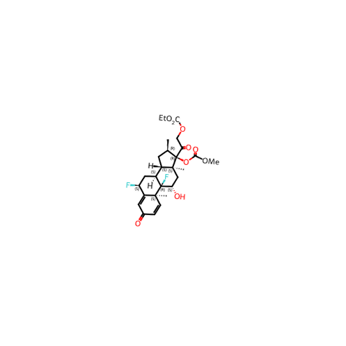 CCOC(=O)OCC(=O)[C@@]1(OC(=O)OC)[C@H](C)C[C@H]2[C@@H]3C[C@H](F)C4=CC(=O)C=C[C@]4(C)[C@@]3(F)[C@@H](O)C[C@@]21C